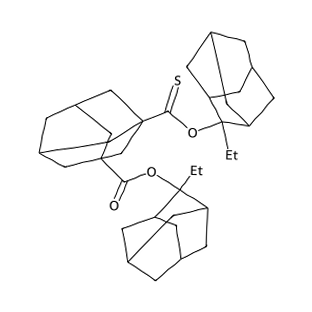 CCC1(OC(=O)C23CC4CC(C2)CC(C(=S)OC2(CC)C5CC6CC(C5)CC2C6)(C4)C3)C2CC3CC(C2)CC1C3